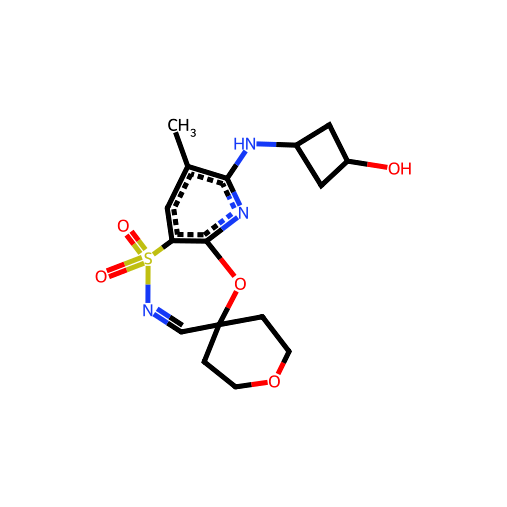 Cc1cc2c(nc1NC1CC(O)C1)OC1(C=NS2(=O)=O)CCOCC1